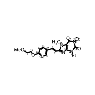 CCn1c(=O)c2c(nc(/C=C/c3ccc(OCCOC)nc3)n2C)n(CC)c1=O